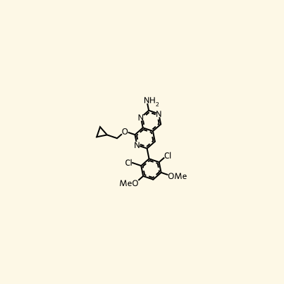 COc1cc(OC)c(Cl)c(-c2cc3cnc(N)nc3c(OCC3CC3)n2)c1Cl